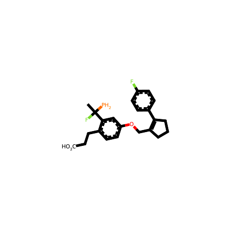 CC(F)(P)c1cc(OCC2=C(c3ccc(F)cc3)CCC2)ccc1CCC(=O)O